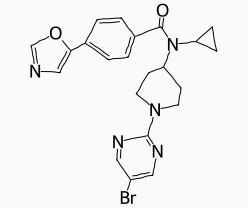 O=C(c1ccc(-c2cnco2)cc1)N(C1CC1)C1CCN(c2ncc(Br)cn2)CC1